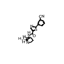 C[C@H]1[C@H](NC(=O)c2cnc(-c3cccc(C#N)c3)s2)C2CCN1CC2